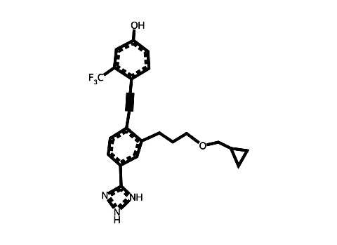 Oc1ccc(C#Cc2ccc(-c3n[nH][nH]3)cc2CCCOCC2CC2)c(C(F)(F)F)c1